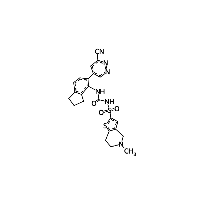 CN1CCc2sc(S(=O)(=O)NC(=O)Nc3c(-c4cnnc(C#N)c4)ccc4c3CCC4)cc2C1